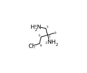 CC(N)(CN)CCCl